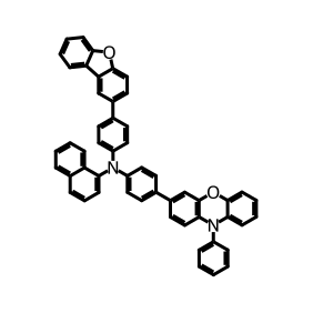 c1ccc(N2c3ccccc3Oc3cc(-c4ccc(N(c5ccc(-c6ccc7oc8ccccc8c7c6)cc5)c5cccc6ccccc56)cc4)ccc32)cc1